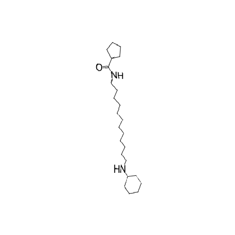 O=C(NCCCCCCCCCCCCNC1CCCCC1)C1CCCC1